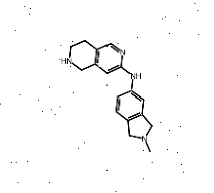 CN1Cc2ccc(Nc3cc4c(cn3)CCNC4)cc2C1